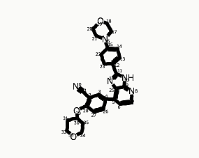 N#Cc1cc(-c2ccnc3[nH]c(C4=CC=C(N5CCOCC5)CC4)nc23)ccc1OC1CCOCC1